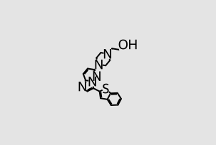 OCCN1CCN(c2ccc3ncc(-c4cc5ccccc5s4)n3n2)CC1